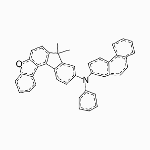 CC1(C)c2cc(N(c3ccccc3)c3ccc4c(ccc5ccccc54)c3)ccc2-c2c1ccc1oc3ccccc3c21